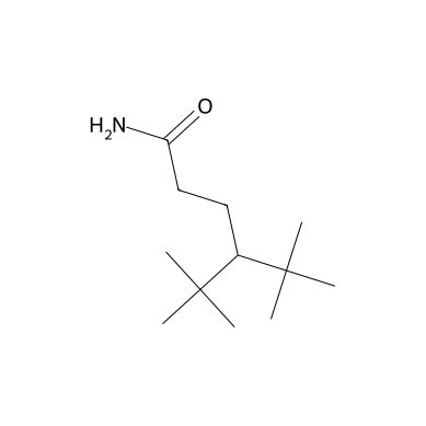 CC(C)(C)C(CCC(N)=O)C(C)(C)C